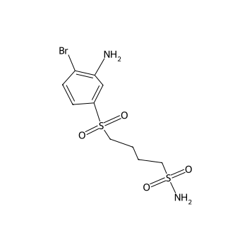 Nc1cc(S(=O)(=O)CCCCS(N)(=O)=O)ccc1Br